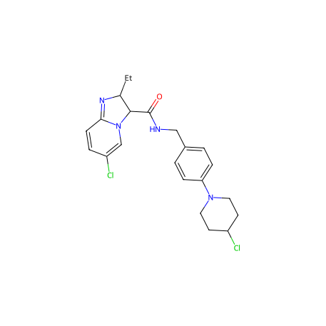 CCC1N=C2C=CC(Cl)=CN2C1C(=O)NCc1ccc(N2CCC(Cl)CC2)cc1